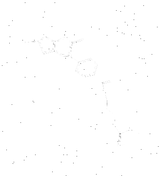 CC(C)(C)c1cc2cn(-c3ccc(C(=O)NCCONC(=N)N)cc3)c(=O)nc2[nH]1